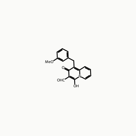 COc1cccc(Cc2c(=O)c(C=O)c(O)n3ccccc23)c1